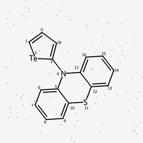 c1c[te]c(N2c3ccccc3Sc3ccccc32)c1